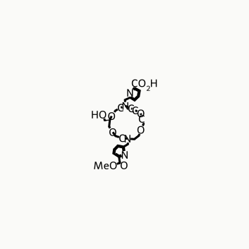 COC(=O)c1cccc(CN2CCOCCOCCN(Cc3cccc(C(=O)O)n3)CCO[C@H](CO)COCC2)n1